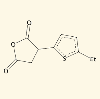 CCc1ccc(C2CC(=O)OC2=O)s1